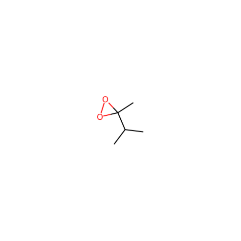 CC(C)C1(C)OO1